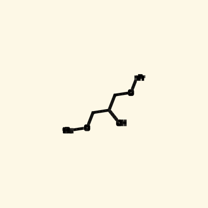 CCCOCC(O)COC(C)(C)C